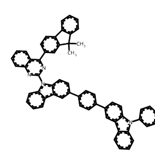 CC1(C)c2ccccc2-c2ccc(-c3nc(-n4c5ccccc5c5cc(-c6ccc(-c7ccc8c(c7)c7ccccc7n8-c7ccccc7)cc6)ccc54)nc4ccccc34)cc21